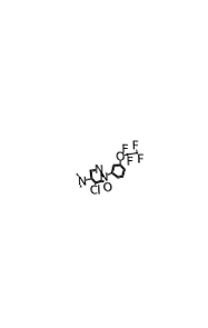 CN(C)c1cnn(-c2cccc(OC(F)(F)C(F)F)c2)c(=O)c1Cl